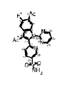 CC(=O)c1cc2c(cc1F)c(C(C)=O)c(-c1ccc(S(N)(=O)=O)cn1)n2-c1ncccn1